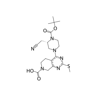 CSc1nc2c(c(N3CCN(C(=O)OC(C)(C)C)[C@@H](CC#N)C3)n1)CCN(C(=O)O)C2